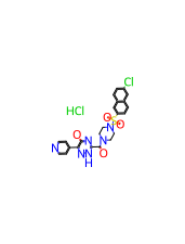 Cl.O=C(c1nc(=O)c(-c2ccncc2)n[nH]1)N1CCN(S(=O)(=O)c2ccc3cc(Cl)ccc3c2)CC1